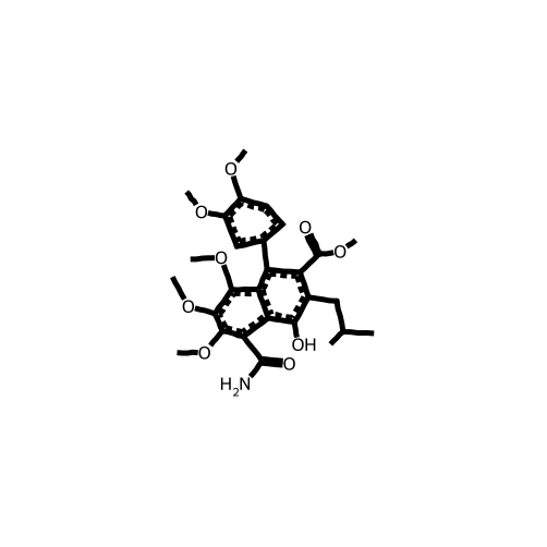 COC(=O)c1c(CC(C)C)c(O)c2c(C(N)=O)c(OC)c(OC)c(OC)c2c1-c1ccc(OC)c(OC)c1